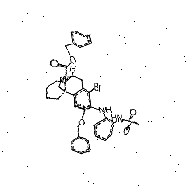 CS(=O)(=O)Nc1ccccc1Nc1c(OCc2ccccc2)cc2c(c1Br)C[C@@H]1[C@@H]3CCCC[C@]23CCN1C(=O)OCc1ccccc1